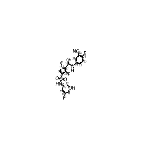 Cn1cc(S(=O)(=O)N[C@@H](C=C(F)F)CO)c(F)c1C(=O)Nc1ccc(F)c(C#N)c1